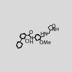 COc1cc(NC(=O)c2cccc(-c3ccccc3)c2Cl)ccc1CNCC1CCON1